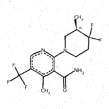 Cc1c(C(F)(F)F)cnc(N2CCC(F)(F)[C@H](C)C2)c1C(N)=O